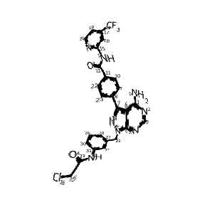 Nc1ncnc2c1c(-c1ccc(C(=O)Nc3cc(C(F)(F)F)ccn3)cc1)nn2Cc1cccc(NC(=O)CCl)c1